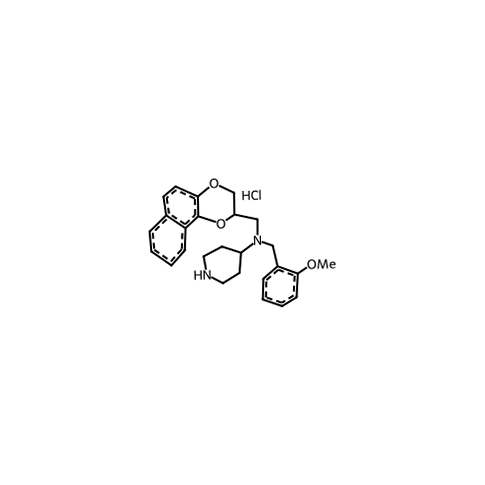 COc1ccccc1CN(CC1COc2ccc3ccccc3c2O1)C1CCNCC1.Cl